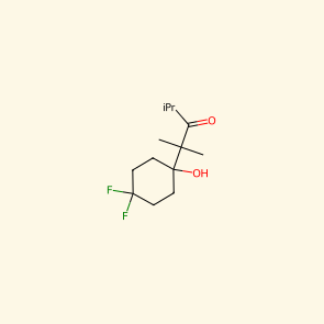 CC(C)C(=O)C(C)(C)C1(O)CCC(F)(F)CC1